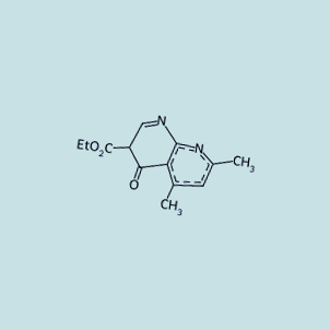 CCOC(=O)C1C=Nc2nc(C)cc(C)c2C1=O